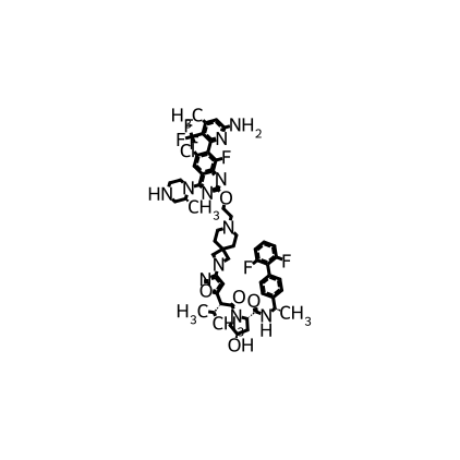 Cc1cc(N)nc(-c2c(Cl)cc3c(N4CCNC[C@@H]4C)nc(OCCN4CCC5(CC4)CN(c4cc([C@H](C(=O)N6C[C@H](O)C[C@H]6C(=O)N[C@@H](C)c6ccc(-c7c(F)cccc7F)cc6)C(C)C)on4)C5)nc3c2F)c1C(F)(F)F